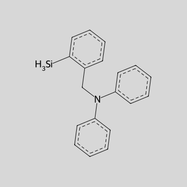 [SiH3]c1ccccc1CN(c1ccccc1)c1ccccc1